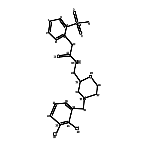 CS(=O)(=O)c1ccccc1CC(=O)NCC1CN(Cc2cccc(Cl)c2Cl)CCO1